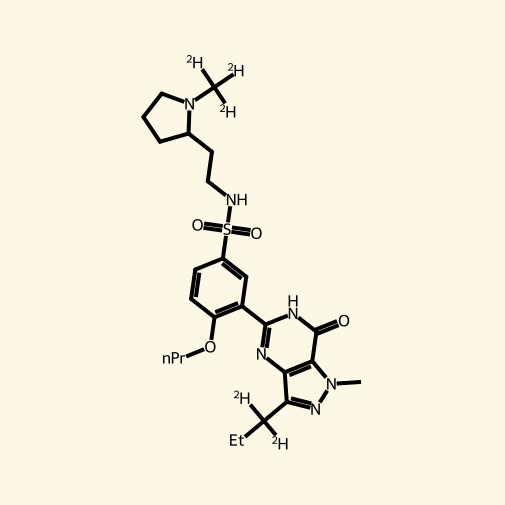 [2H]C([2H])(CC)c1nn(C)c2c(=O)[nH]c(-c3cc(S(=O)(=O)NCCC4CCCN4C([2H])([2H])[2H])ccc3OCCC)nc12